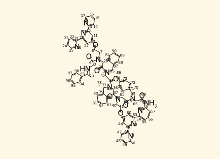 C[C@H](NCC(=O)N(CCOc1cc(-c2ccccn2)nc(-c2ccccn2)c1)CC(=O)N(CC(=O)N(CC(=O)N(CCOc1cc(-c2ccccn2)nc(-c2ccccn2)c1)CC(=O)N(CC(N)=O)[C@@H](C)c1ccccc1)[C@@H](C)c1ccccc1)[C@@H](C)c1ccccc1)c1ccccc1